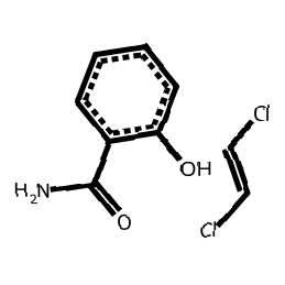 ClC=CCl.NC(=O)c1ccccc1O